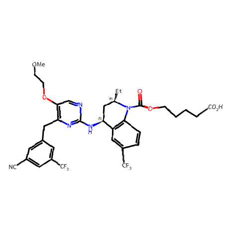 CC[C@@H]1C[C@H](Nc2ncc(OCCOC)c(Cc3cc(C#N)cc(C(F)(F)F)c3)n2)c2cc(C(F)(F)F)ccc2N1C(=O)OCCCCC(=O)O